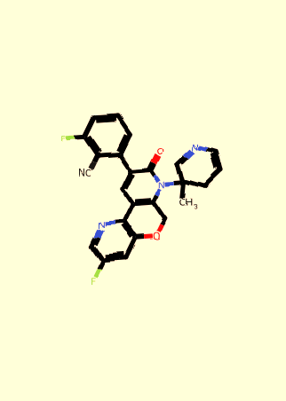 CC1(n2c3c(cc(-c4cccc(F)c4C#N)c2=O)-c2ncc(F)cc2OC3)C=NC=CC1